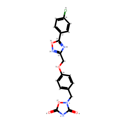 O=c1[nH]c(=O)n(Cc2ccc(OCc3noc(-c4ccc(Cl)cc4)n3)cc2)o1